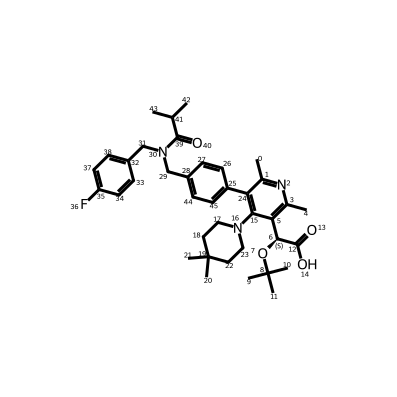 Cc1nc(C)c([C@H](OC(C)(C)C)C(=O)O)c(N2CCC(C)(C)CC2)c1-c1ccc(CN(Cc2ccc(F)cc2)C(=O)C(C)C)cc1